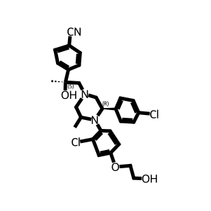 CC1CN(C[C@@](C)(O)c2ccc(C#N)cc2)C[C@@H](c2ccc(Cl)cc2)N1c1ccc(OCCO)cc1Cl